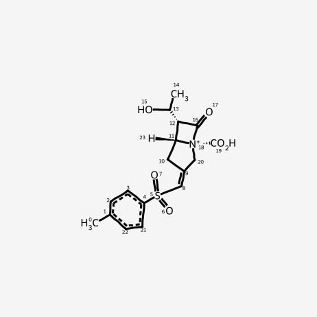 Cc1ccc(S(=O)(=O)/C=C2\C[C@@H]3[C@H](C(C)O)C(=O)[N@@+]3(C(=O)O)C2)cc1